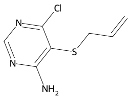 C=CCSc1c(N)ncnc1Cl